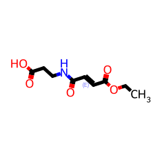 CCOC(=O)/C=C/C(=O)NCCC(=O)O